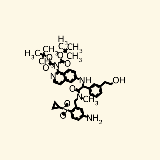 CN(Cc1cc(N)ccc1S(=O)(=O)C1CC1)C(=O)C(Nc1ccc2c(N(C(=O)OC(C)(C)C)C(=O)OC(C)(C)C)nccc2c1)c1cccc(CCO)c1